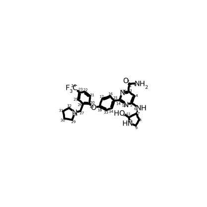 NC(=O)c1cc(N[C@H]2CCNC2O)nc(-c2ccc(Oc3ccc(C(F)(F)F)cc3CN3CCCC3)cc2)n1